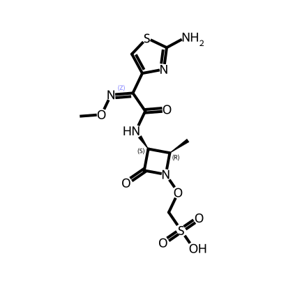 CO/N=C(\C(=O)N[C@@H]1C(=O)N(OCS(=O)(=O)O)[C@@H]1C)c1csc(N)n1